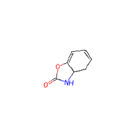 O=C1NC2CC=CC=C2O1